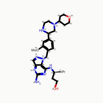 CCC[C@@H](CCO)Nc1nc(N)nc2cnn(Cc3ccc(C4CN(C5CCOCC5)CCN4)cc3OC)c12